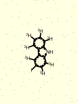 [2H]c1c([2H])c([2H])c2c([nH]c3c([2H])c([2H])c(I)c([2H])c32)c1[2H]